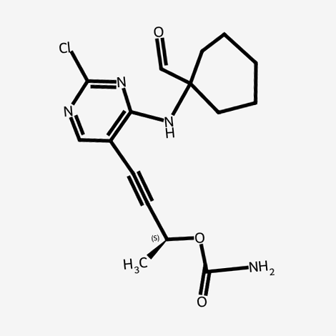 C[C@@H](C#Cc1cnc(Cl)nc1NC1(C=O)CCCCC1)OC(N)=O